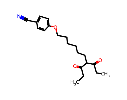 CCC(=O)C(CCCCCCOc1ccc(C#N)cc1)C(=O)CC